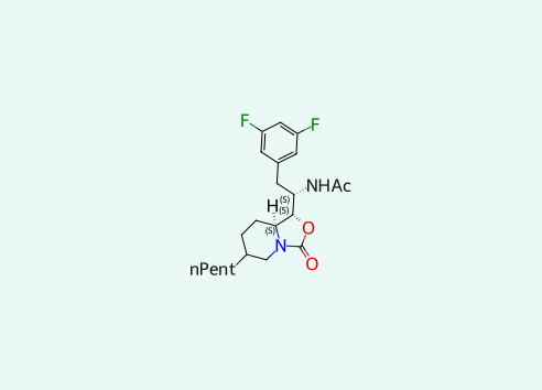 CCCCCC1CC[C@H]2[C@H]([C@H](Cc3cc(F)cc(F)c3)NC(C)=O)OC(=O)N2C1